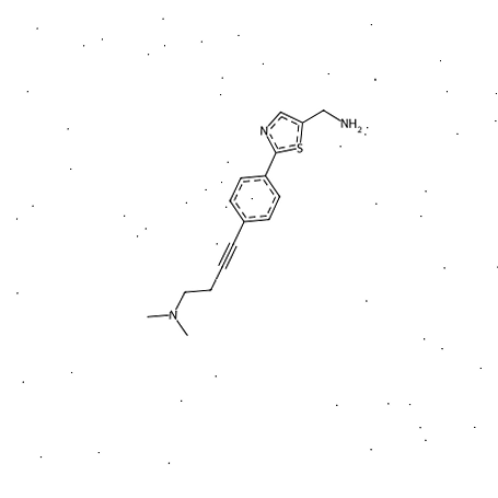 CN(C)CCC#Cc1ccc(-c2ncc(CN)s2)cc1